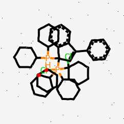 ClC1(P(Cl)(C2CCCCC2)(C2CCCCC2)C2([PH](C3CCCCC3)(C3CCCCC3)C3CCCCC3)C=C(c3ccccc3)c3ccccc32)CCCCC1